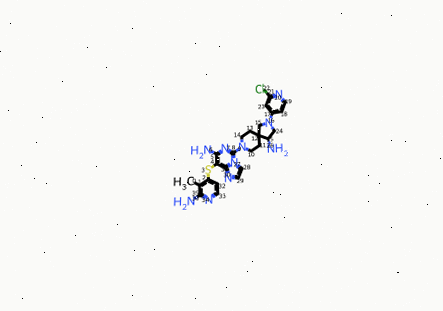 Cc1c(Sc2c(N)nc(N3CCC4(CC3)CN(c3ccnc(Cl)c3)C[C@H]4N)n3ccnc23)ccnc1N